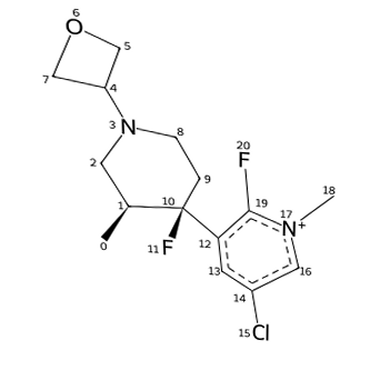 C[C@H]1CN(C2COC2)CC[C@]1(F)c1cc(Cl)c[n+](C)c1F